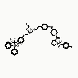 CC(C)(C)[Si](Oc1ccc(OC[C@H](CNCCc2ccc(NC3CCN(C(=O)[C@@H]4CCCN4S(=O)(=O)c4ccc(F)cc4)CC3)cc2)OC=O)cc1)(c1ccccc1)c1ccccc1